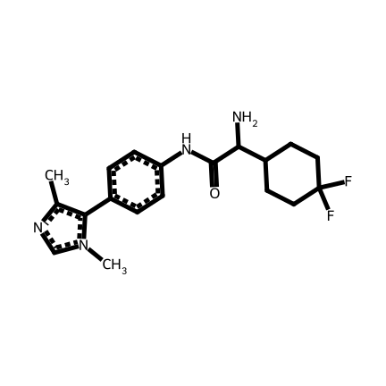 Cc1ncn(C)c1-c1ccc(NC(=O)C(N)C2CCC(F)(F)CC2)cc1